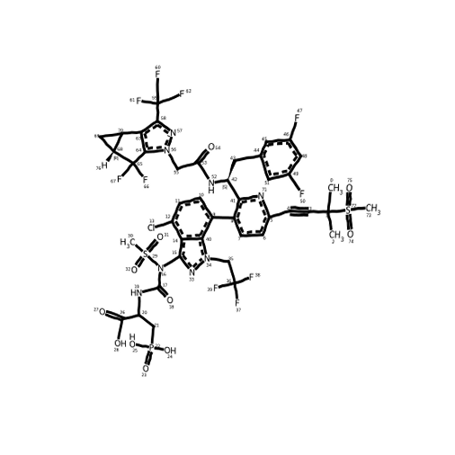 CC(C)(C#Cc1ccc(-c2ccc(Cl)c3c(N(C(=O)NC(CP(=O)(O)O)C(=O)O)S(C)(=O)=O)nn(CC(F)(F)F)c23)c([C@H](Cc2cc(F)cc(F)c2)NC(=O)Cn2nc(C(F)(F)F)c3c2C(F)(F)[C@@H]2CC32)n1)S(C)(=O)=O